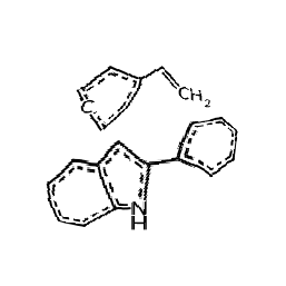 C=Cc1ccccc1.c1ccc(-c2cc3ccccc3[nH]2)cc1